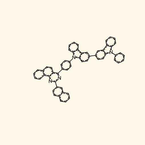 c1ccc(-n2c3ccccc3c3cc(-c4ccc5c(c4)c4ccccc4n5-c4ccc(-c5nc(-c6ccc7ccccc7c6)nc6c5ccc5ccccc56)cc4)ccc32)cc1